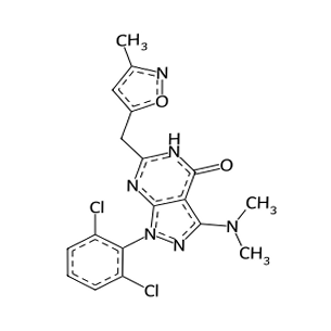 Cc1cc(Cc2nc3c(c(N(C)C)nn3-c3c(Cl)cccc3Cl)c(=O)[nH]2)on1